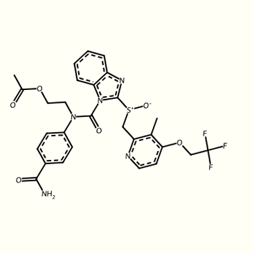 CC(=O)OCCN(C(=O)n1c([S+]([O-])Cc2nccc(OCC(F)(F)F)c2C)nc2ccccc21)c1ccc(C(N)=O)cc1